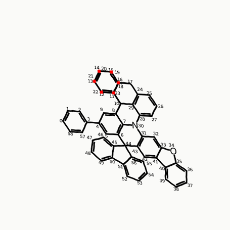 c1ccc(-c2cc3c4c(c2)C25c6ccccc6C(c6ccccc62)c2cccc(c25)N4c2cc4oc5ccccc5c4cc2C32c3ccccc3-c3ccccc32)cc1